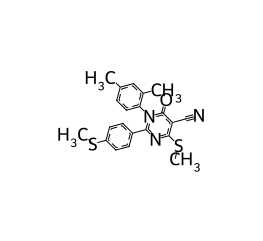 CSc1ccc(-c2nc(SC)c(C#N)c(=O)n2-c2ccc(C)cc2C)cc1